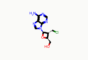 Nc1ncnc2c1ncn2[C@@H]1O[C@H](CO)[C@H]1CCl